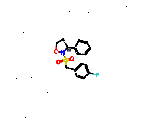 O=S(=O)(Cc1ccc(F)cc1)N1OCC[C@H]1c1ccccc1